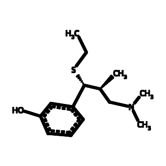 CCS[C@@H](c1cccc(O)c1)[C@@H](C)CN(C)C